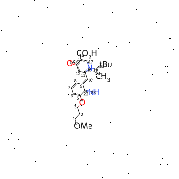 COCCCOC1=CC=C/C(=C\c2cc(=O)c(C(=O)O)cn2[C@H](C)C(C)(C)C)C1=N